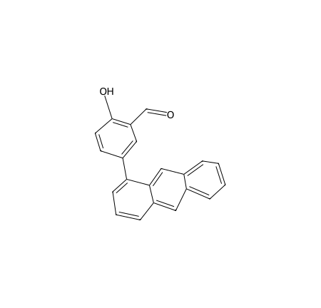 O=Cc1cc(-c2cccc3cc4ccccc4cc23)ccc1O